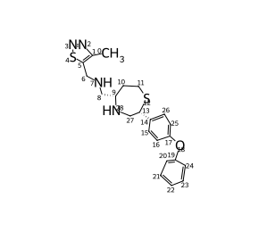 Cc1nnsc1CNC[C@@H]1CCS[C@H](c2ccc(Oc3ccccc3)cc2)CN1